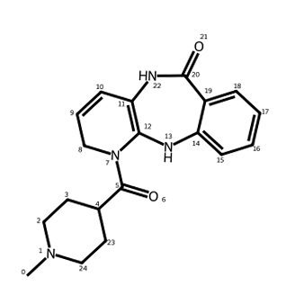 CN1CCC(C(=O)N2CC=CC3=C2Nc2ccccc2C(=O)N3)CC1